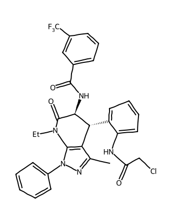 CCN1C(=O)[C@@H](NC(=O)c2cccc(C(F)(F)F)c2)[C@H](c2ccccc2NC(=O)CCl)c2c(C)nn(-c3ccccc3)c21